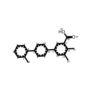 Cc1ccccc1-c1ccc(-c2cc(C)c(C)c(C(=O)O)c2)cc1